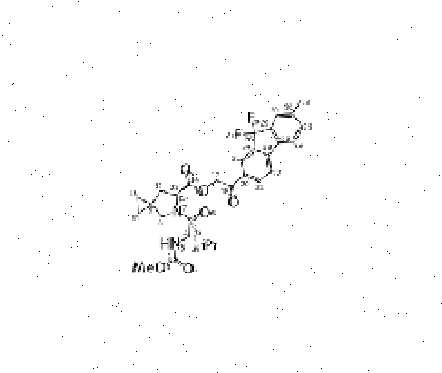 COC(=O)N[C@H](C(=O)N1CC2(CC2)C[C@H]1C(=O)OCC(=O)c1ccc2c(c1)C(F)(F)c1cc(C)ccc1-2)C(C)C